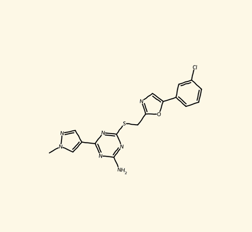 Cn1cc(-c2nc(N)nc(SCc3ncc(-c4cccc(Cl)c4)o3)n2)cn1